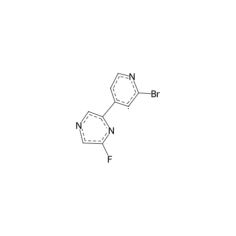 Fc1cncc(-c2[c]c(Br)ncc2)n1